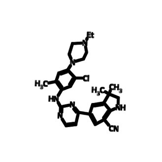 CCN1CCN(c2cc(C)c(Nc3nccc(-c4cc(C#N)c5c(c4)C(C)(C)CN5)n3)cc2Cl)CC1